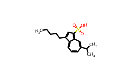 CCCCCc1cc(S(=O)(=O)O)c2cc(C(C)C)cccc1-2